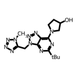 Cn1nnnc1Cn1nnc2c(N3CCC(O)C3)nc(C(C)(C)C)nc21